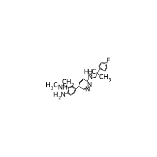 C=C(NC)c1cc(C2C=CC(NCC(C)(C)c3ccc(F)cc3)=NN=C2)ccc1N